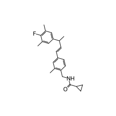 Cc1cc(/C=C/C(C)c2cc(C)c(F)c(C)c2)ccc1CNC(=O)C1CC1